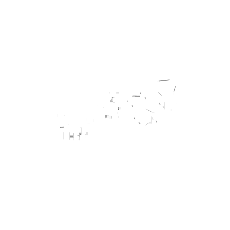 O=P(O)(O)CP(=O)(O)OC[C@H]1O[C@@H](n2cnc3c(N4c5ccccc5CC45CCCCC5)nc(Cl)nc32)[C@@H](O)C1O